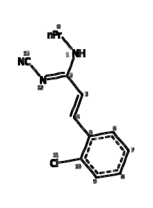 CCCNC(C=Cc1ccccc1Cl)=NC#N